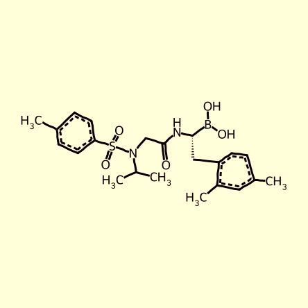 Cc1ccc(S(=O)(=O)N(CC(=O)N[C@@H](Cc2ccc(C)cc2C)B(O)O)C(C)C)cc1